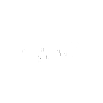 C[C@@H](NC(=O)N1Cc2cnc(NC3CCOCC3)nc2C1)c1ccccc1